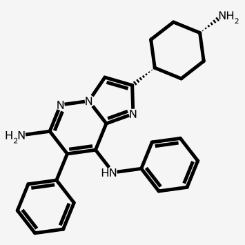 Nc1nn2cc([C@H]3CC[C@@H](N)CC3)nc2c(Nc2ccccc2)c1-c1ccccc1